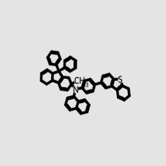 CC1(N(c2ccc(-c3ccc4sc5c(c4c3)C=CCC5)cc2)c2cccc3ccccc23)C=CC2=C(C1)C(c1ccccc1)(c1ccccc1)C1C=CCCC21